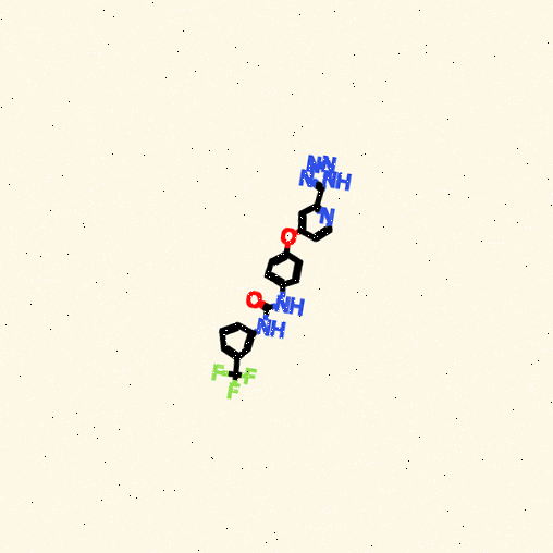 O=C(Nc1ccc(Oc2ccnc(-c3nnn[nH]3)c2)cc1)Nc1cccc(C(F)(F)F)c1